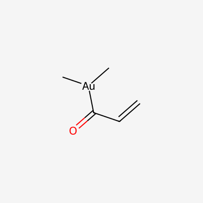 C=C[C](=O)[Au]([CH3])[CH3]